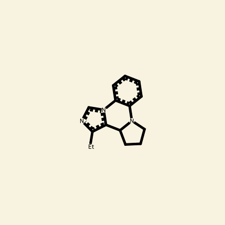 CCc1ncn2c1C1CCCN1c1ccccc1-2